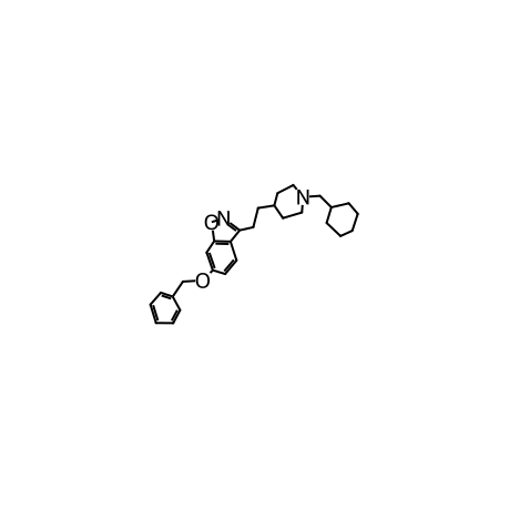 c1ccc(COc2ccc3c(CCC4CCN(CC5CCCCC5)CC4)noc3c2)cc1